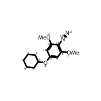 COc1cc(OC2CCCCC2)cc(OC)c1[N+]#N